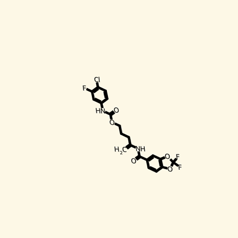 C=C(CCCOC(=O)Nc1ccc(Cl)c(F)c1)NC(=O)c1ccc2c(c1)OC(F)(F)O2